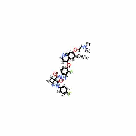 CCN(CC)CCOc1cc2nccc(Oc3ccc(NC(=O)C4(C(=O)Nc5ccc(F)cc5)CCC4)cc3F)c2cc1OC